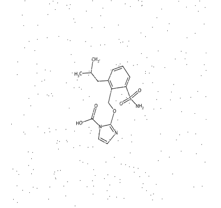 CC(C)Cc1cccc(S(N)(=O)=O)c1COc1nccn1C(=O)O